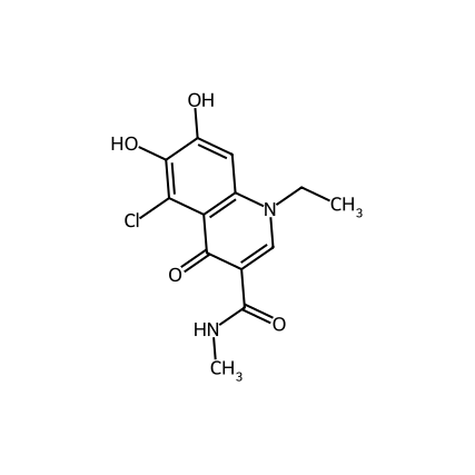 CCn1cc(C(=O)NC)c(=O)c2c(Cl)c(O)c(O)cc21